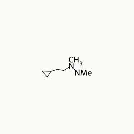 CNN(C)CCC1CC1